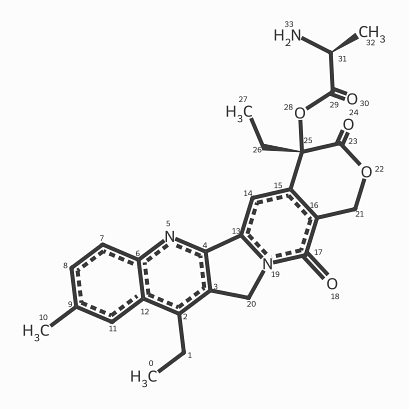 CCc1c2c(nc3ccc(C)cc13)-c1cc3c(c(=O)n1C2)COC(=O)[C@@]3(CC)OC(=O)[C@H](C)N